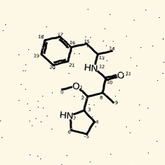 COC(C1CCCN1)C(C)C(=O)NC(C)Cc1ccccc1